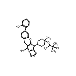 CCCc1c(Cc2ccc(-c3ccccc3C#N)cc2)c(=O)n(C2CCC(C)(OC(C)C(C)(C)O)CC2)c2ncnn12